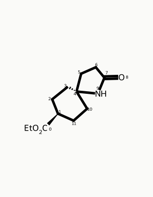 CCOC(=O)[C@H]1CC[C@@]2(CCC(=O)N2)CC1